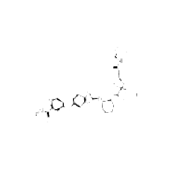 CCNC(=O)CCCC(C)(C)C(=O)O[C@H]1CCCC[C@@H]1Nc1nc2ccc(Oc3ccnc(C(=O)NC)c3)cc2s1